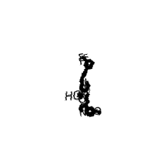 COc1ccc2nccc(CCC[C@@H]3CCN(CC#Cc4cccc(C(F)(F)F)c4)C[C@@H]3C(=O)O)c2c1